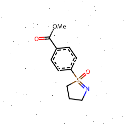 COC(=O)c1ccc(S2(=O)=NCCC2)cc1